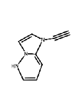 C#CN1C=CN2NC=CC=C12